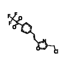 O=S(=O)(c1ccc(C=Cc2nc(CCl)co2)cc1)C(F)(F)F